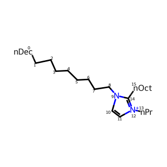 CCCCCCCCCCCCCCCCCCn1cc[n+](CCC)c1CCCCCCCC